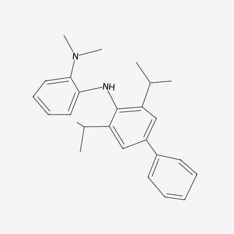 CC(C)c1cc(-c2ccccc2)cc(C(C)C)c1Nc1ccccc1N(C)C